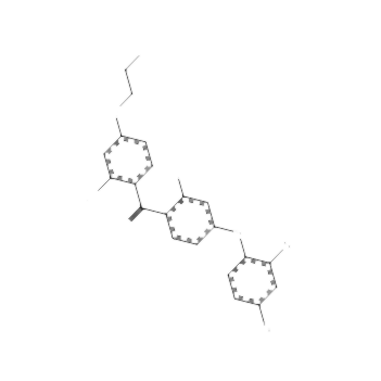 Cc1cc(OCCF)ccc1C(=O)c1ccc(Nc2ccc(Br)cc2N)cc1Cl